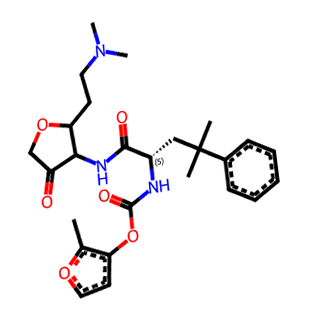 Cc1occc1OC(=O)N[C@@H](CC(C)(C)c1ccccc1)C(=O)NC1C(=O)COC1CCN(C)C